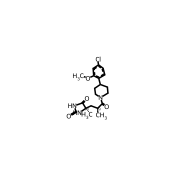 COc1cc(Cl)ccc1C1CCN(C(=O)[C@@H](C)C[C@@]2(C)NC(=O)NC2=O)CC1